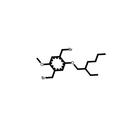 CCCCC(CC)COc1cc(CBr)c(OC)cc1CBr